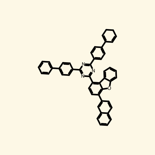 C1=CC(c2ccc(-c3nc(-c4ccc(-c5ccccc5)cc4)nc(-c4ccc(-c5ccc6ccccc6c5)c5oc6ccccc6c45)n3)cc2)=CCC1